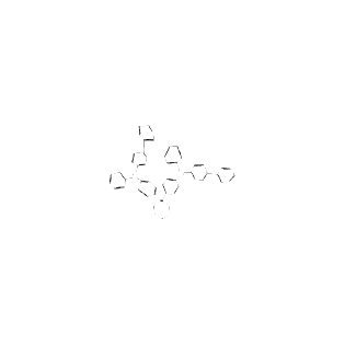 c1ccc(-c2ccc(N(c3ccccc3)c3ccc(C4(c5ccc(N(c6ccccc6)c6ccc(-c7ccccc7)cc6)cc5)CCCCC4)cc3)cc2)cc1